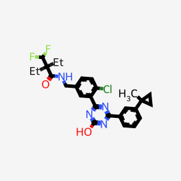 CCC(CC)(C(=O)NCc1ccc(Cl)c(-c2nc(O)nc(-c3cccc(C4(C)CC4)c3)n2)c1)C(F)F